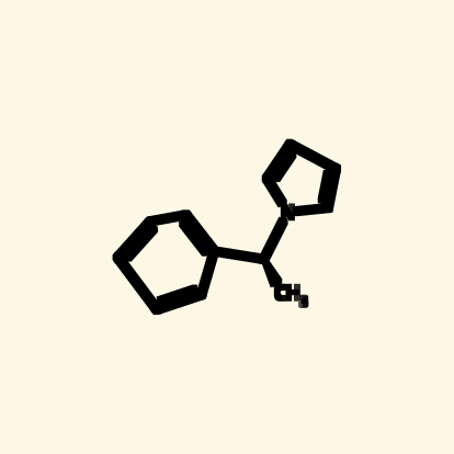 C[C@@H](c1ccccc1)n1cccc1